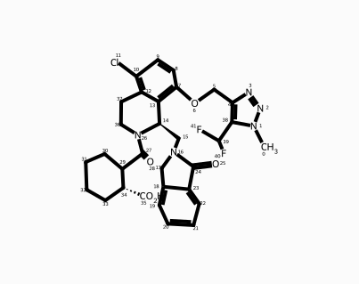 Cn1nnc(COc2ccc(Cl)c3c2[C@@H](CN2Cc4ccccc4C2=O)N(C(=O)C2CCCC[C@H]2C(=O)O)CC3)c1C(F)F